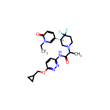 CC(C(=O)Nc1ccc(OCC2CC2)nn1)N1CCC(F)(F)[C@@H](c2ccc(=O)n(CC(F)(F)F)c2)C1